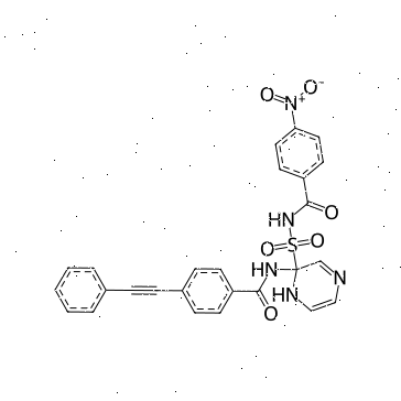 O=C(NC1(S(=O)(=O)NC(=O)c2ccc([N+](=O)[O-])cc2)C=NC=CN1)c1ccc(C#Cc2ccccc2)cc1